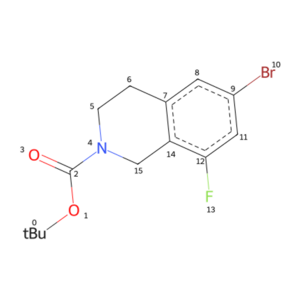 CC(C)(C)OC(=O)N1CCc2cc(Br)cc(F)c2C1